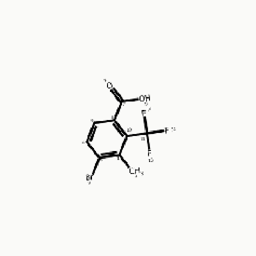 Cc1c(Br)ccc(C(=O)O)c1C(F)(F)F